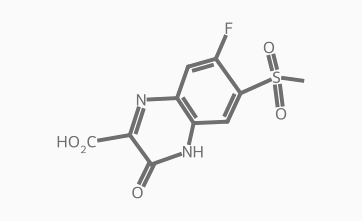 CS(=O)(=O)c1cc2[nH]c(=O)c(C(=O)O)nc2cc1F